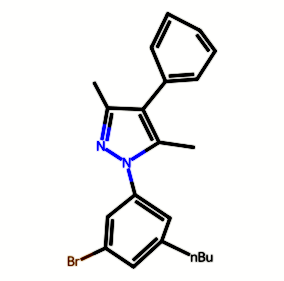 CCCCc1cc(Br)cc(-n2nc(C)c(-c3ccccc3)c2C)c1